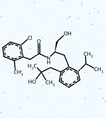 Cc1cccc(Cl)c1CC(=O)N[C@@H](CO)Cc1c(CC(C)(C)O)cccc1C(C)C